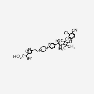 CC(C)C(C(=O)O)c1cc(CCN2CCN(c3ccc(C(=O)N[C@H]4C(C)(C)[C@H](Oc5ccc(C#N)c(Cl)c5)C4(C)C)cn3)CC2)no1